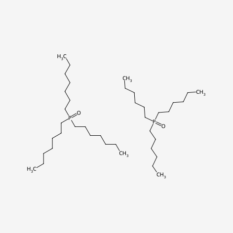 CCCCCCCP(=O)(CCCCCCC)CCCCCCC.CCCCCCP(=O)(CCCCCC)CCCCCC